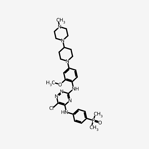 COc1cc(N2CCC(N3CCN(C)CC3)CC2)ccc1Nc1nnc(Cl)c(Nc2ccc(P(C)(C)=O)cc2)n1